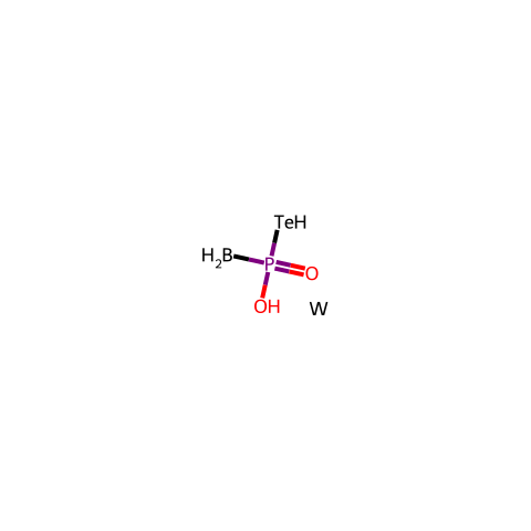 BP(=O)(O)[TeH].[W]